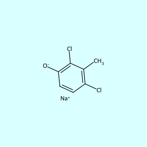 Cc1c(Cl)ccc([O-])c1Cl.[Na+]